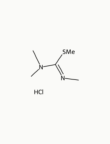 C/N=C(\SC)N(C)C.Cl